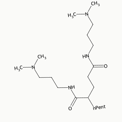 CCCCCC(CCC(=O)NCCCN(C)C)C(=O)NCCCN(C)C